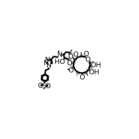 CO[C@]1(C)C[C@@H](C)C(=O)[C@H](C)[C@@H](O)[C@](C)(O)[C@@H](C)OC(=O)[C@H](C)C(=O)[C@H](C)[C@H]1O[C@@H]1O[C@H](C)C[C@H](N(C)CCc2cn(CCc3ccc(S(C)(=O)=O)cc3)nn2)[C@H]1O